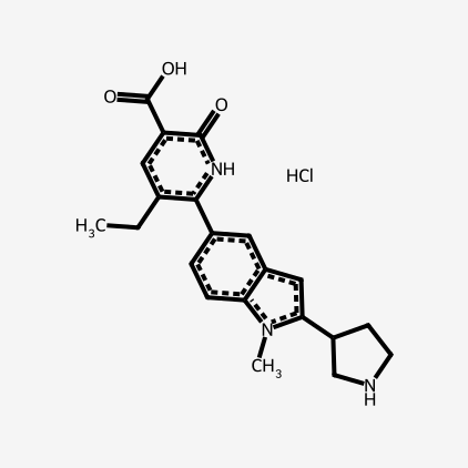 CCc1cc(C(=O)O)c(=O)[nH]c1-c1ccc2c(c1)cc(C1CCNC1)n2C.Cl